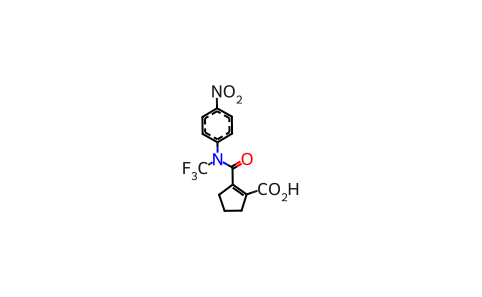 O=C(O)C1=C(C(=O)N(c2ccc([N+](=O)[O-])cc2)C(F)(F)F)CCC1